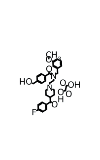 COc1cccc(CN(CCN2CCC(C(=O)c3ccc(F)cc3)CC2)C(=O)c2ccc(CO)cc2)c1.O=C(O)C(=O)O